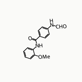 COc1ccccc1NC(=O)c1ccc(NC=O)cc1